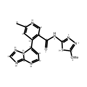 COc1nnc(NC(=O)c2cnc(C)cc2-c2ccnc3ncnn23)s1